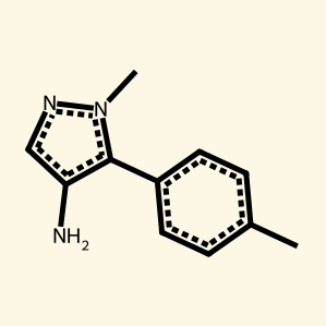 Cc1ccc(-c2c(N)cnn2C)cc1